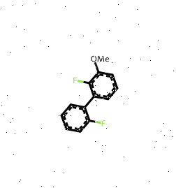 COc1cccc(-c2c[c]ccc2F)c1F